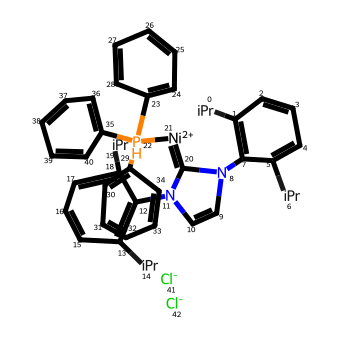 CC(C)c1cccc(C(C)C)c1-n1ccn(-c2c(C(C)C)cccc2C(C)C)[c]1=[Ni+2][PH](c1ccccc1)(c1ccccc1)c1ccccc1.[Cl-].[Cl-]